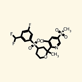 CC1(c2ncc(S(C)(=O)=O)cc2Cl)CC(S(=O)(=O)c2cc(F)cc(C(F)F)c2)CCO1